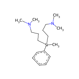 CN(C)CCC[Si](C)(CCCN(C)C)c1ccccc1